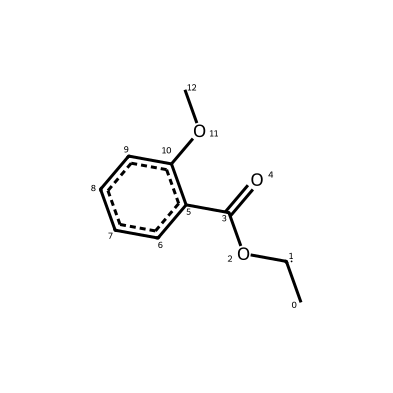 C[CH]OC(=O)c1ccccc1OC